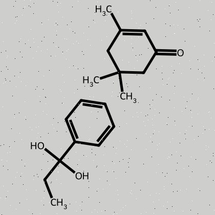 CC1=CC(=O)CC(C)(C)C1.CCC(O)(O)c1ccccc1